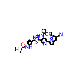 CC(=O)NC12CCC(c3nnc(-c4cnc(-c5ccc6cc(C#N)cnn56)cc4NC(C)C)s3)(C1)C2